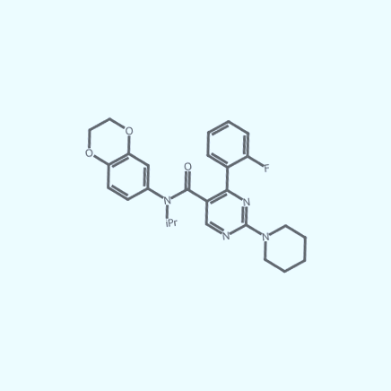 CC(C)N(C(=O)c1cnc(N2CCCCC2)nc1-c1ccccc1F)c1ccc2c(c1)OCCO2